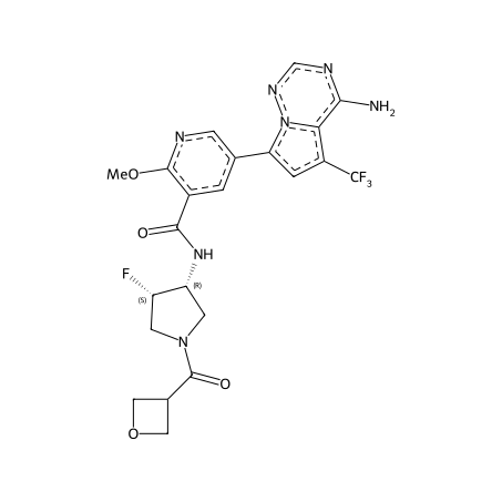 COc1ncc(-c2cc(C(F)(F)F)c3c(N)ncnn23)cc1C(=O)N[C@@H]1CN(C(=O)C2COC2)C[C@@H]1F